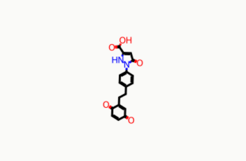 O=C1C=CC(=O)C(CCc2ccc(-n3[nH]c(C(=O)O)cc3=O)cc2)=C1